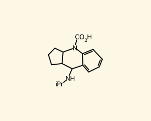 CC(C)NC1c2ccccc2N(C(=O)O)C2CCCC12